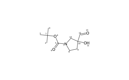 CC(C)(C)OC(=O)N1CCC(O)(C=O)C1